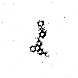 O=C(O)c1cncc(-c2cnc(NC3C=CC(F)=C(S(=O)(=O)N4CCOCC4)C3)nc2N2CCOCC2)c1